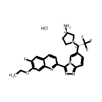 CCOc1cc2nc(-c3nnc4ccc([C@H](N5CC[C@@H](N)C5)C(F)(F)F)cn34)ccc2cc1F.Cl